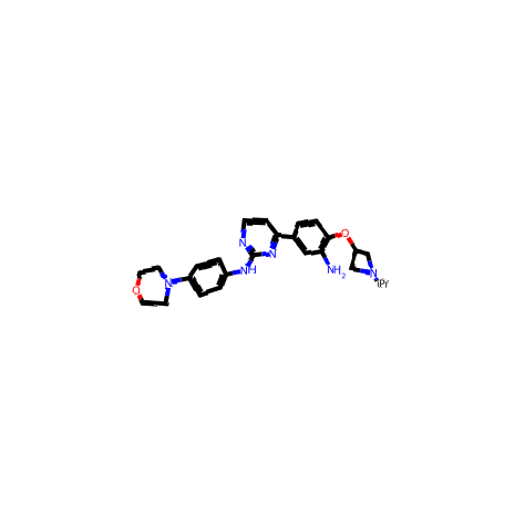 CC(C)N1CC(Oc2ccc(-c3ccnc(Nc4ccc(N5CCOCC5)cc4)n3)cc2N)C1